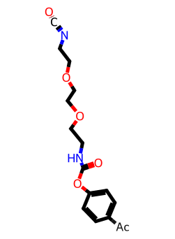 CC(=O)c1ccc(OC(=O)NCCOCCOCCN=C=O)cc1